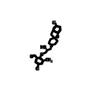 Cc1cc(Cl)cc(C=O)c1OC[C@H](O)CN1CCC2(CC1)Cc1cc(Cl)ccc1O2